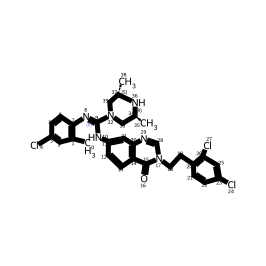 Cc1cc(Cl)ccc1/N=C(\Nc1ccc2c(=O)n(CCc3ccc(Cl)cc3Cl)cnc2c1)N1C[C@@H](C)N[C@@H](C)C1